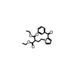 CCOC(=O)C(CCn1cccc1C(=O)c1ccccc1)C(=O)OCC